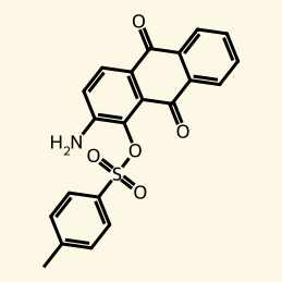 Cc1ccc(S(=O)(=O)Oc2c(N)ccc3c2C(=O)c2ccccc2C3=O)cc1